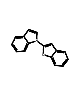 c1ccc2oc(-n3ccc4ccccc43)cc2c1